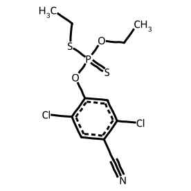 CCOP(=S)(Oc1cc(Cl)c(C#N)cc1Cl)SCC